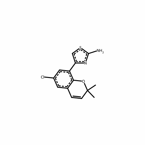 CC1(C)C=Cc2cc(Cl)cc(-c3csc(N)n3)c2O1